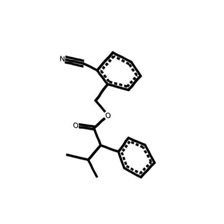 CC(C)C(C(=O)OCc1ccccc1C#N)c1ccccc1